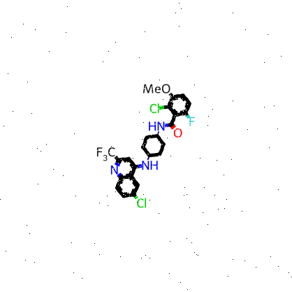 COc1ccc(F)c(C(=O)N[C@H]2CC[C@@H](Nc3cc(C(F)(F)F)nc4ccc(Cl)cc34)CC2)c1Cl